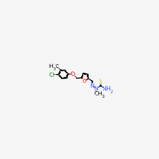 Cc1cc(OCc2ccc(C=NN(C)C(N)=S)o2)ccc1Cl